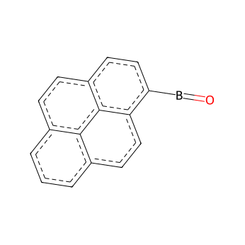 O=Bc1ccc2ccc3cccc4ccc1c2c34